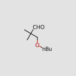 CCCCOCC(C)(C)C=O